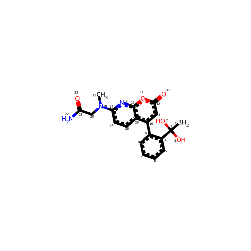 BC(O)(O)c1ccccc1-c1cc(=O)oc2nc(N(C)CC(N)=O)ccc12